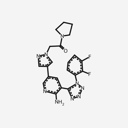 Nc1ncc(-c2cnn(CC(=O)N3CCCC3)c2)cc1-c1nnnn1-c1cccc(F)c1F